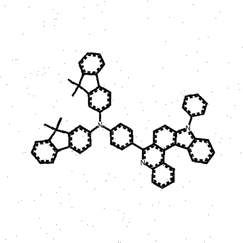 CC1(C)c2ccccc2-c2ccc(N(c3ccc(-c4nc5ccccc5c5c4ccc4c5c5ccccc5n4-c4ccccc4)cc3)c3ccc4c(c3)C(C)(C)c3ccccc3-4)cc21